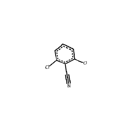 N#Cc1c(Cl)cccc1Cl